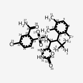 [2H]C([2H])([2H])C(c1c(F)ccc(C)c1C)C(NS(=O)(=O)c1ccc(Cl)cc1C(N)=O)c1n[nH]c(=O)o1